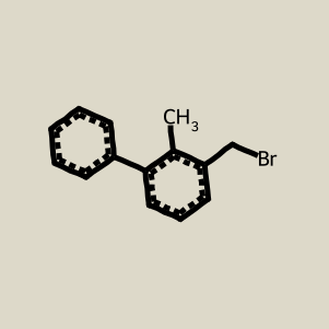 Cc1c(CBr)cccc1-c1ccccc1